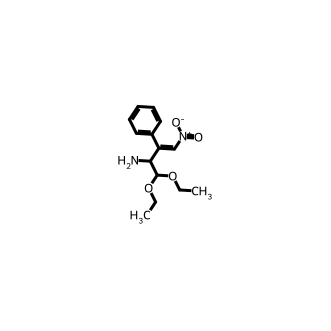 CCOC(OCC)C(N)C(=C[N+](=O)[O-])c1ccccc1